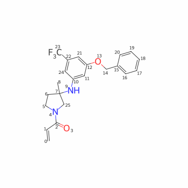 C=CC(=O)N1CCC(C)(Nc2cc(OCc3ccccc3)cc(C(F)(F)F)c2)C1